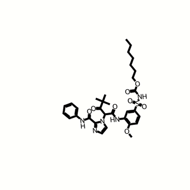 CCCCCCCOC(=O)NS(=O)(=O)c1ccc(OC)c(NC(=O)C(C(=O)C(C)(C)C)n2ccnc2C(=O)Nc2ccccc2)c1